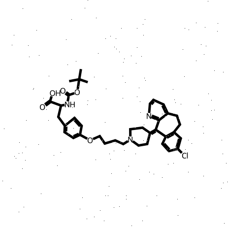 CC(C)(C)OC(=O)NC(Cc1ccc(OCCCCN2CCC(=C3c4ccc(Cl)cc4CCc4cccnc43)CC2)cc1)C(=O)O